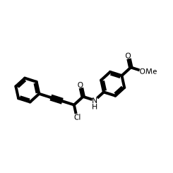 COC(=O)c1ccc(NC(=O)C(Cl)C#Cc2ccccc2)cc1